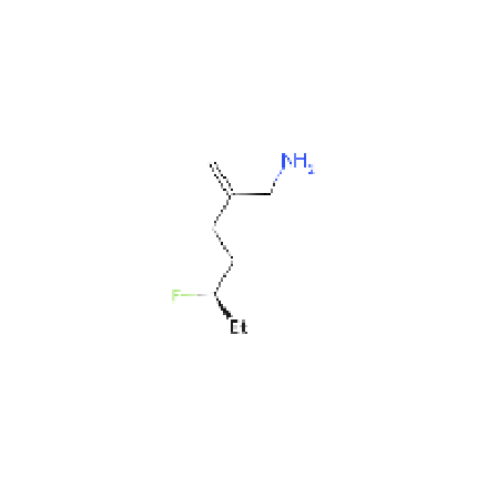 C=C(CN)CC[C@H](F)CC